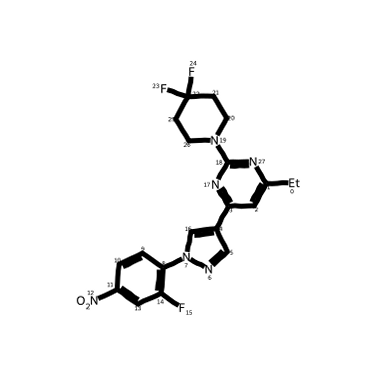 CCc1cc(-c2cnn(-c3ccc([N+](=O)[O-])cc3F)c2)nc(N2CCC(F)(F)CC2)n1